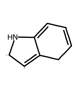 [C]1=C2CC=CC=C2N[CH]1